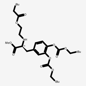 CCC(C)CC(=O)OCCN[C@@H](Cc1ccc(OC(=O)OCC(C)(C)C)c(OC(=O)OCC(C)(C)C)c1)C(=O)OC